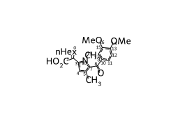 CCCCCCC(C(=O)O)c1cc(C)c(C(=O)c2ccc(OC)c(OC)c2)n1C